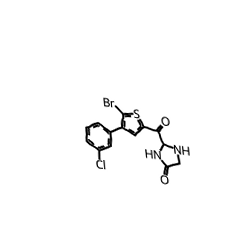 O=C1CNC(C(=O)c2cc(-c3cccc(Cl)c3)c(Br)s2)N1